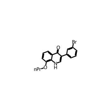 CCCOc1cccc2c(=O)c(-c3cccc(Br)c3)c[nH]c12